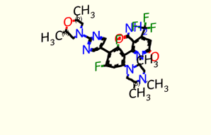 C[C@@H]1CN(c2ncc(-c3c(F)cc(N4CCN(C)[C@@H](C)C4)c(-c4c(C(N)=O)c(C(F)(F)F)cc(=O)n4C)c3F)cn2)C[C@@H](C)O1